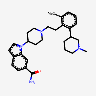 COc1cccc(C2CCCN(C)C2)c1CCN1CCC(n2ccc3ccc(C(N)=O)cc32)CC1